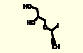 C#CC(I)OCC(O)CO